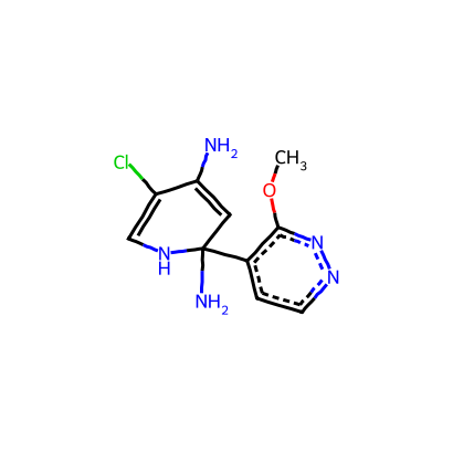 COc1nnccc1C1(N)C=C(N)C(Cl)=CN1